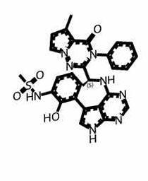 Cc1ccn2nc([C@H](C)Nc3ncnc4[nH]cc(-c5cccc(NS(C)(=O)=O)c5O)c34)n(-c3ccccc3)c(=O)c12